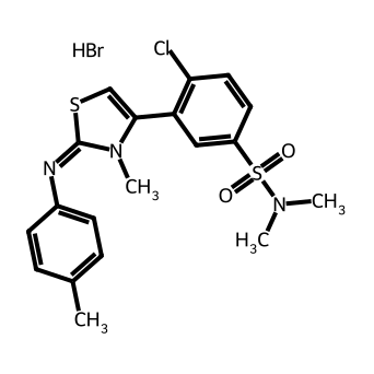 Br.Cc1ccc(N=c2scc(-c3cc(S(=O)(=O)N(C)C)ccc3Cl)n2C)cc1